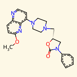 COc1ccc2nccc(N3CCN(C[C@@H]4CN(c5ccccc5)C(=O)O4)CC3)c2n1